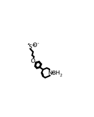 BN1CCC=CC(c2ccc(OCCCC[S+](C)[O-])cc2)CC1